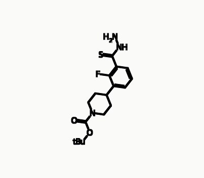 CC(C)(C)OC(=O)N1CCC(c2cccc(C(=S)NN)c2F)CC1